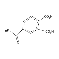 CCCC(=O)c1ccc(C(=O)O)c(C(=O)O)c1